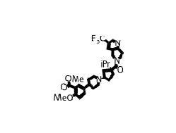 COC(=O)c1cc(C2CCN([C@@H]3CC[C@@](C(=O)N4CCc5ncc(C(F)(F)F)cc5C4)(C(C)C)C3)CC2)ccc1OC